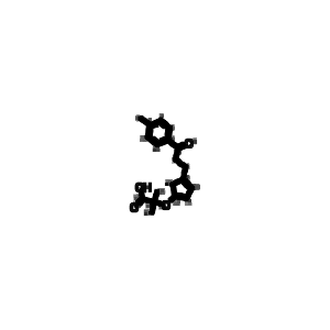 Cc1ccc(C(=O)CCC2=CC=C(OC(C)(C)C(=O)O)C2)cc1